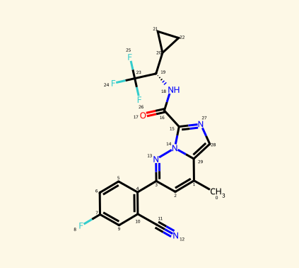 Cc1cc(-c2ccc(F)cc2C#N)nn2c(C(=O)N[C@@H](C3CC3)C(F)(F)F)ncc12